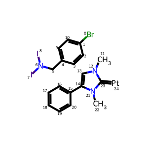 Brc1ccc(CN(I)I)cc1.Cn1cc(-c2ccccc2)n(C)[c]1=[Pt]